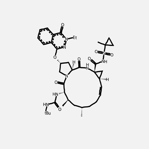 CCn1nc(O[C@@H]2C[C@H]3C(=O)N[C@]4(C(=O)NS(=O)(=O)C5(C)CC5)C[C@H]4/C=C\CC[C@H](C)C[C@@H](C)[C@H](NC(=O)NC(C)(C)C)C(=O)N3C2)c2ccccc2c1=O